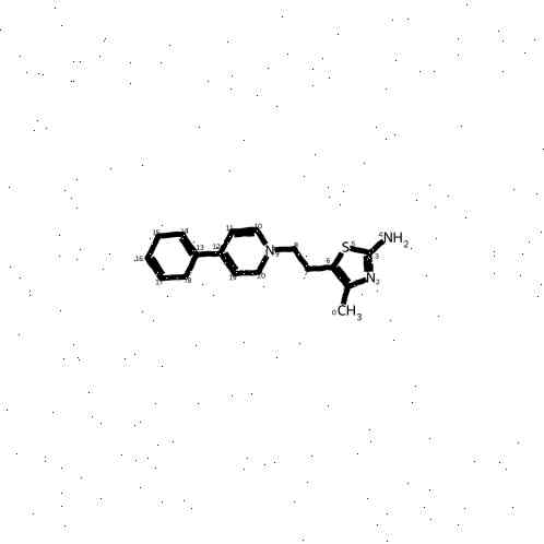 Cc1nc(N)sc1CCN1C=CC(C2=CCC=CC2)=CC1